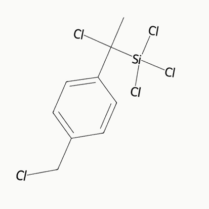 CC(Cl)(c1ccc(CCl)cc1)[Si](Cl)(Cl)Cl